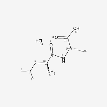 CC(C)C[C@H](N)C(=O)N[C@@H](C)C(=O)O.Cl